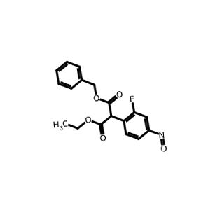 CCOC(=O)C(C(=O)OCc1ccccc1)c1ccc(N=O)cc1F